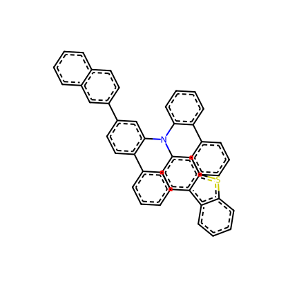 c1ccc(-c2ccccc2N(c2ccc3c(c2)sc2ccccc23)c2cc(-c3ccc4ccccc4c3)ccc2-c2ccccc2)cc1